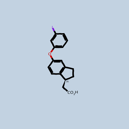 O=C(O)C[C@@H]1CCc2cc(Oc3cccc(I)c3)ccc21